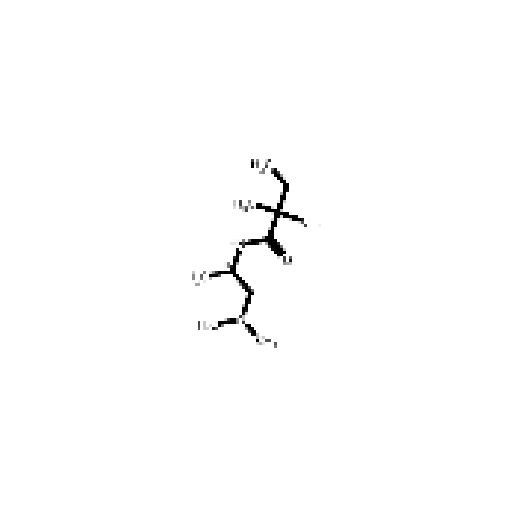 CCC(C)(C)C(=O)N[C@H](C)CN(C)C